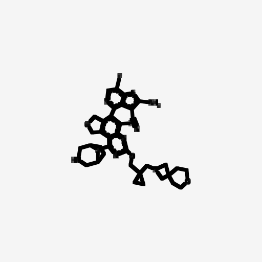 N#Cc1c(N)sc2c(F)cnc(-c3c4c(c5c(N6C7CCC6CNC7)nc(OCC6(CN7CC8(CCOCC8)C7)CC6)nc5c3F)COC4)c12